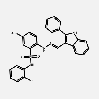 O=[N+]([O-])c1ccc(N/N=C/c2c(-c3ccccc3)[nH]c3ccccc23)c(S(=O)(=O)Nc2ccccc2Cl)c1